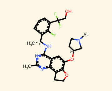 CC(=O)N1CC[C@H](Oc2cc3c(N[C@H](C)c4cccc(C(F)(F)CO)c4F)nc(C)nc3c3c2OCC3)C1